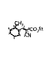 CCOC(=O)C(C#N)=Cc1ccccc1C